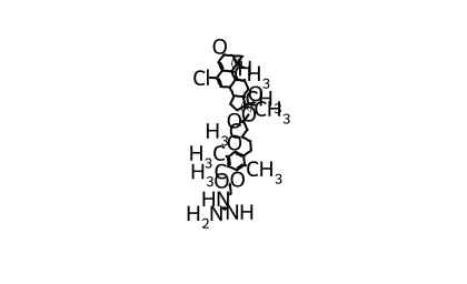 CC(=O)[C@@]1(OC(=O)CC2(C)CCc3c(C)c(OC(=O)CNC(=N)N)c(C)c(C)c3O2)CCC2C3C=C(Cl)C4=CC(=O)C5C[C@@H]5C4(C)C3CCC21C